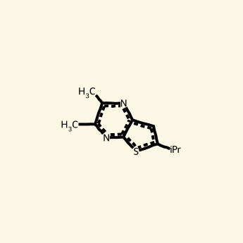 Cc1nc2cc(C(C)C)sc2nc1C